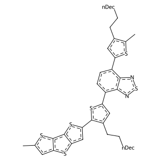 CCCCCCCCCCCCc1cc(-c2ccc(-c3cc(CCCCCCCCCCCC)c(-c4cc5sc6cc(C)sc6c5s4)s3)c3nsnc23)sc1C